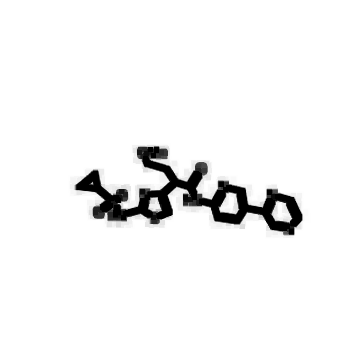 COCCC(C(=O)Nc1ccc(-c2cnccn2)cn1)c1csc(NS(=O)(=O)C2CC2)n1